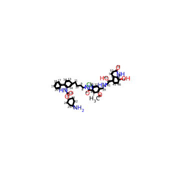 COc1cc(C(=O)NCCCCc2ccc(-c3ccccc3)c(NC(=O)OC3CCC(N)CC3)c2)c(Cl)cc1CNC[C@H](O)c1ccc(O)c2[nH]c(=O)ccc12